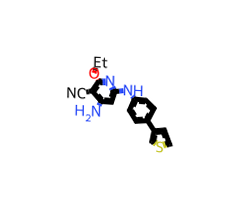 CCOc1nc(Nc2ccc(-c3ccsc3)cc2)cc(N)c1C#N